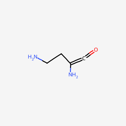 NCCC(N)=C=O